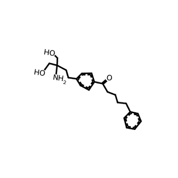 NC(CO)(CO)CCc1ccc(C(=O)CCCCc2ccccc2)cc1